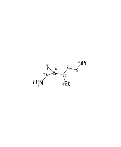 CCC(CCC(C)C)B1CC1N